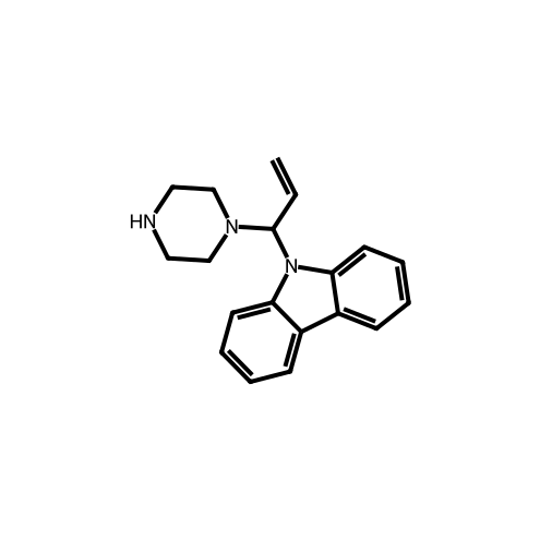 C=CC(N1CCNCC1)n1c2ccccc2c2ccccc21